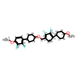 CCCCOc1ccc(C2CCC(OCc3ccc(C4CCC(OCCC)CC4)c(F)c3F)CC2)c(F)c1F